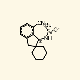 CC(C)(C)[S@@+]([O-])N[C@@H]1c2c(C#N)cccc2CC12CCCCC2